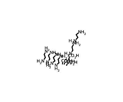 CC(=O)O.CC(=O)O.CC(=O)O.CC(=O)O.NCCN.NCCN.NCCN.NCCN.NCCN.NCCN